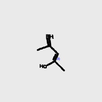 B=C(C)/C=C(/C)O